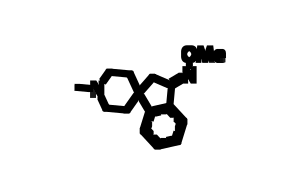 CON=C1CC2(CCN(C)CC2)c2ccccc21